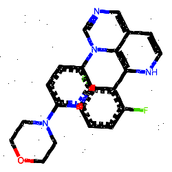 Fc1cccc(F)c1C1=C2C(=CN=CN2c2ccc(N3CCOCC3)nc2)C=CN1